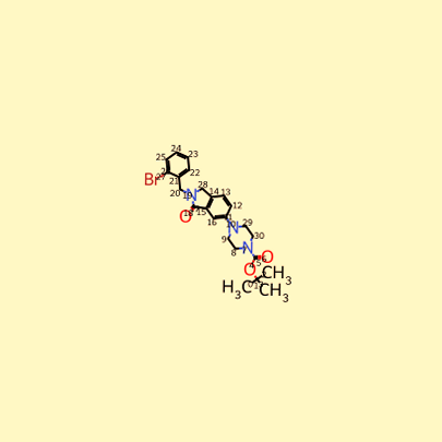 CC(C)(C)OC(=O)N1CCN(c2ccc3c(c2)C(=O)N(Cc2ccccc2Br)C3)CC1